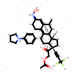 CC(=O)OCC(=O)[C@@]1(C#CC(F)(F)F)CC[C@H]2[C@@H]3CC(C)C4=CC(=NO)CCC4=C3[C@@H](c3ccc(N4CCCC4)cc3)C[C@@]21C